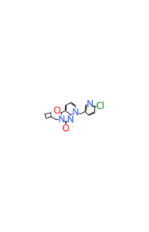 O=c1nc2n(Cc3ccc(Cl)nc3)cccc-2c(=O)n1CC1CCC1